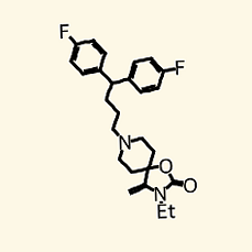 C=C1N(CC)C(=O)OC12CCN(CCCC(c1ccc(F)cc1)c1ccc(F)cc1)CC2